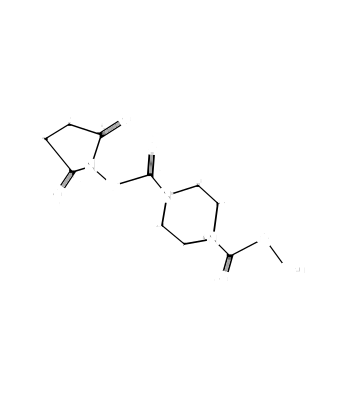 CC(C)(C)OC(=O)N1CCN(C(=O)ON2C(=O)CCC2=O)CC1